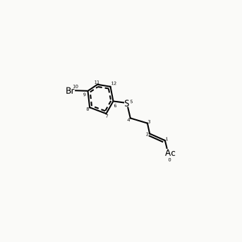 CC(=O)C=CCCSc1ccc(Br)cc1